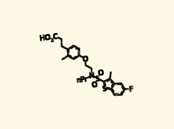 CCCN(CCOc1ccc(CCC(=O)O)c(C)c1)S(=O)(=O)c1sc2ccc(F)cc2c1C